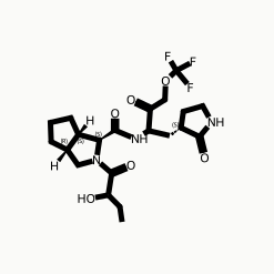 CCC(O)C(=O)N1C[C@@H]2CCC[C@@H]2[C@H]1C(=O)NC(C[C@@H]1CCNC1=O)C(=O)COC(F)(F)F